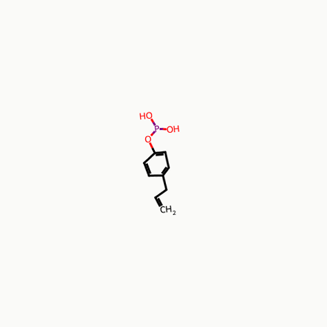 C=CCc1ccc(OP(O)O)cc1